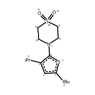 CC(C)c1cc(C(C)(C)C)sc1N1CCS(=O)(=O)CC1